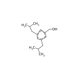 CC(C)Cc1cc(CO)cc(CC(C)C)c1